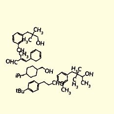 CC(C)(C)c1ccc(CCC=O)cc1.CC(C)[C@H]1CC[C@@H](CO)CC1.CC(C=O)=CC1C=CC=CC1.Cc1cccc(CC(C)(C)C(C)O)c1.Cc1cccc(CC(C)(C)CO)c1